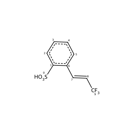 O=S(=O)(O)c1ccccc1C=CC(F)(F)F